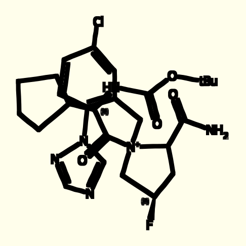 CC(C)(C)OC(=O)N[C@@H](C(=O)[N+]1(Cc2cc(Cl)ccc2-n2cncn2)C[C@H](F)CC1C(N)=O)C1CCCC1